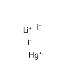 [Hg+].[I-].[I-].[Li+]